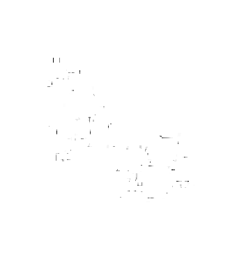 CCS(=O)(=O)N1CC[N+](CCCCN2C(=O)CCC(=O)c3ccccc32)(OC(=O)C(F)(F)F)CC1